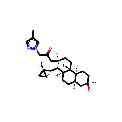 Cc1cnn(CC(=O)C[C@@]2(C)CC[C@H]3[C@@H](CC[C@@H]4C[C@](C)(O)CC[C@@H]43)[C@@H]2[C@@H]2C3C[C@@H]32)c1